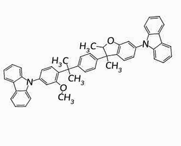 COc1cc(-n2c3ccccc3c3ccccc32)ccc1C(C)(C)c1ccc(C2(C)c3ccc(-n4c5ccccc5c5ccccc54)cc3OC2C)cc1